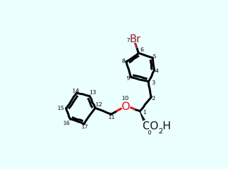 O=C(O)[C@H](Cc1ccc(Br)cc1)OCc1ccccc1